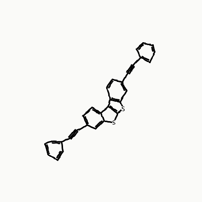 C(#Cc1ccc2c(c1)sc1sc3cc(C#Cc4ccccc4)ccc3c12)c1ccccc1